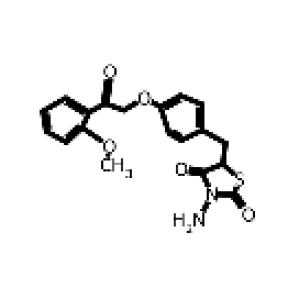 COc1ccccc1C(=O)COc1ccc(CC2SC(=O)N(N)C2=O)cc1